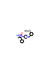 COc1cccc(CN2CCC(n3c(-c4ccccc4)c(C)[nH]c3=O)CC2)c1